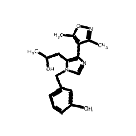 Cc1noc(C)c1-c1ncn(Cc2cccc(O)c2)c1CC(C)O